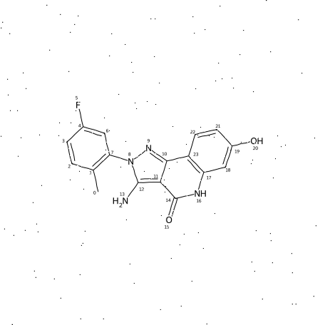 Cc1ccc(F)cc1-n1nc2c(c1N)c(=O)[nH]c1cc(O)ccc12